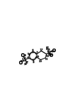 O=S(=O)(F)c1ccc2c(c1)CCC(S(=O)(=O)F)C2